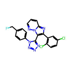 FCc1ccc(-n2nnnc2-c2c(-c3cc(Cl)ccc3Cl)nc3cccnn23)cc1